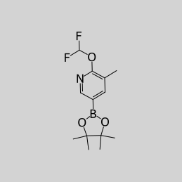 Cc1cc(B2OC(C)(C)C(C)(C)O2)cnc1OC(F)F